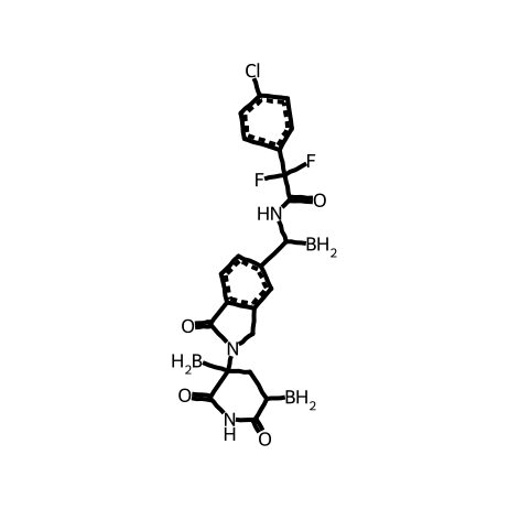 BC1CC(B)(N2Cc3cc(C(B)NC(=O)C(F)(F)c4ccc(Cl)cc4)ccc3C2=O)C(=O)NC1=O